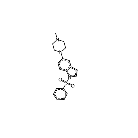 CN1CCN(c2ccc3c(ccn3S(=O)(=O)c3ccccc3)c2)CC1